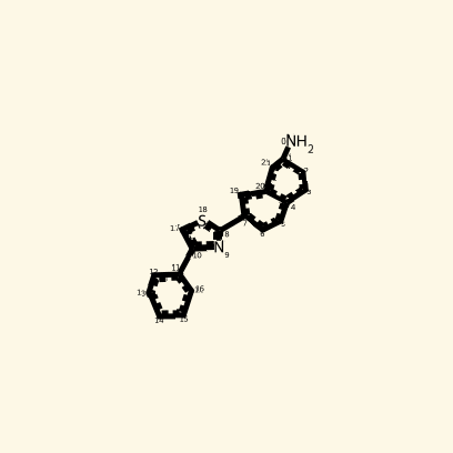 Nc1ccc2ccc(-c3nc(-c4ccccc4)cs3)cc2c1